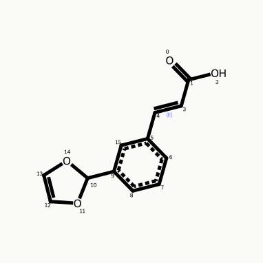 O=C(O)/C=C/c1cccc(C2OC=CO2)c1